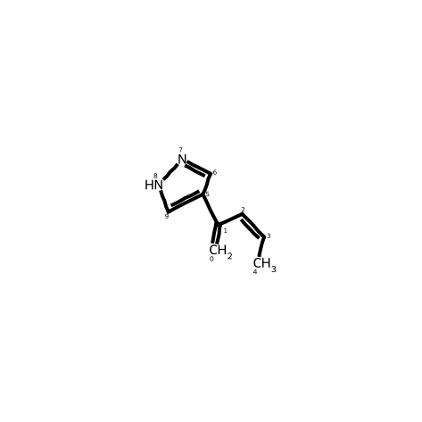 C=C(/C=C\C)c1cn[nH]c1